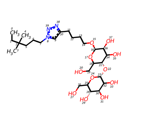 CCC(C)(C)CCCn1cc(CCCCO[C@@H]2OC(CO)[C@@H](O[C@H]3OC(CO)[C@@H](O)[C@H](O)C3O)C(O)[C@@H]2O)nn1